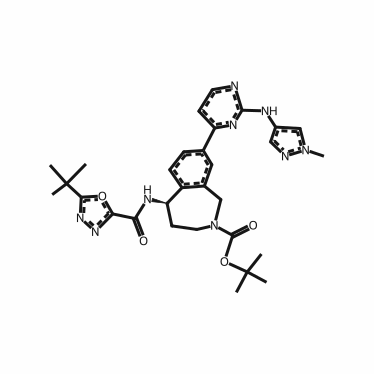 Cn1cc(Nc2nccc(-c3ccc4c(c3)CN(C(=O)OC(C)(C)C)CC[C@H]4NC(=O)c3nnc(C(C)(C)C)o3)n2)cn1